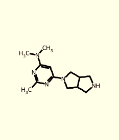 Cc1nc(N(C)C)cc(N2CC3CNCC3C2)n1